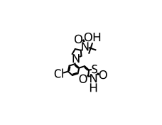 CC(C)(C)N(C(=O)O)[C@H]1CCN(c2cc(Cl)ccc2C=C2SC(=O)NC2=O)C1